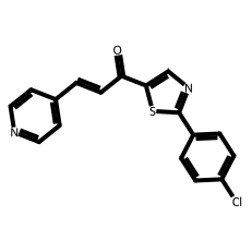 O=C(C=Cc1ccncc1)c1[c]nc(-c2ccc(Cl)cc2)s1